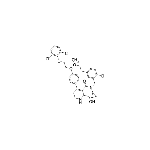 COCCc1ccc(Cl)c(CN(C(=O)C2=C(c3ccc(OCCOc4c(Cl)cccc4Cl)cc3)CCNC2CO)C2CC2)c1